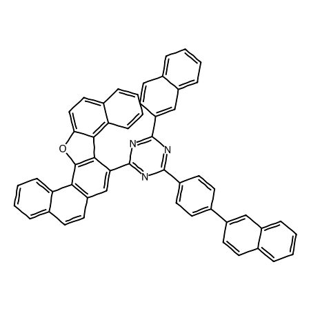 c1ccc2cc(-c3ccc(-c4nc(-c5ccc6ccccc6c5)nc(-c5cc6ccc7ccccc7c6c6oc7ccc8ccccc8c7c56)n4)cc3)ccc2c1